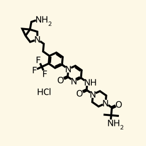 CC(C)(N)C(=O)N1CCN(C(=O)Nc2ccn(-c3ccc(CCN4CC5CC5(CN)C4)c(C(F)(F)F)c3)c(=O)n2)CC1.Cl